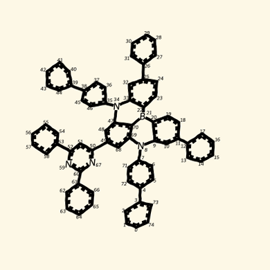 c1ccc(-c2ccc(N3c4cc(-c5ccccc5)ccc4B4c5ccc(-c6ccccc6)cc5N(c5ccc(-c6ccccc6)cc5)c5cc(-c6cc(-c7ccccc7)nc(-c7ccccc7)n6)cc3c54)cc2)cc1